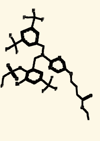 CCOC(=O)CCCOc1cnc(N(Cc2cc(C(F)(F)F)cc(C(F)(F)F)c2)Cc2cc(C(F)(F)F)cc(Br)c2OS(=O)(=O)CF)nc1